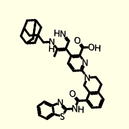 C/C(NCC12CC3CC(CC(C3)C1)C2)=C(/C=N)c1ccc(N2CCc3cccc(C(=O)Nc4nc5ccccc5s4)c3C2)nc1C(=O)O